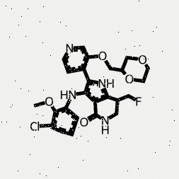 COc1c(Cl)cccc1Nc1c(-c2ccncc2OCC2COCCO2)[nH]c2c1C(=O)NCC2CF